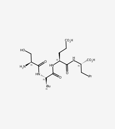 CC[C@H](C)[C@H](NC(=O)[C@@H](N)CO)C(=O)N[C@@H](CCC(=O)O)C(=O)N[C@@H](CC(C)C)C(=O)O